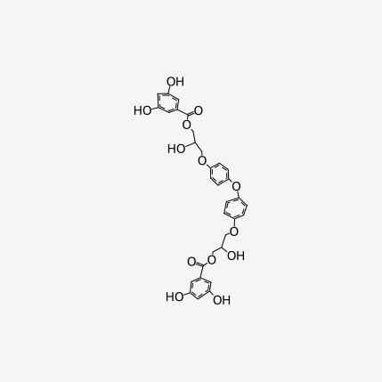 O=C(OCC(O)COc1ccc(Oc2ccc(OCC(O)COC(=O)c3cc(O)cc(O)c3)cc2)cc1)c1cc(O)cc(O)c1